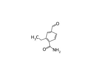 CCc1cc(C=O)ccc1C(N)=O